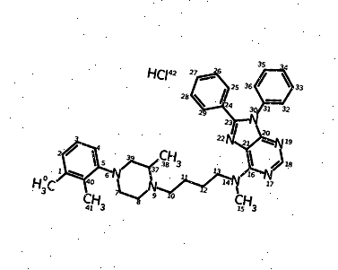 Cc1cccc(N2CCN(CCCCN(C)c3ncnc4c3nc(-c3ccccc3)n4-c3ccccc3)C(C)C2)c1C.Cl